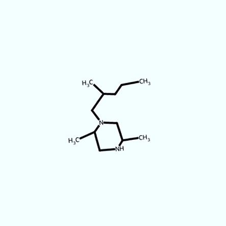 CCCC(C)CN1CC(C)NCC1C